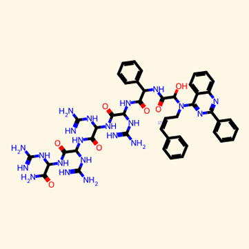 N=C(N)NC(NC(=O)C(NC(=N)N)NC(=O)C(NC(=N)N)NC(=O)C(NC(=N)N)NC(=O)C(NC(=O)C(O)N(C/C=C\c1ccccc1)c1nc(-c2ccccc2)nc2ccccc12)c1ccccc1)C(N)=O